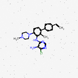 C=Cc1ccc(-c2ccc(N3CCN(C)CC3)c(Nc3ncnc(Cl)c3N)c2C)cc1